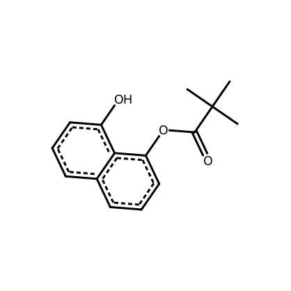 CC(C)(C)C(=O)Oc1cccc2cccc(O)c12